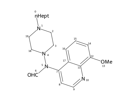 CCCCCCCN1CCN(N(C=O)c2ccnc3c(OC)cccc23)CC1